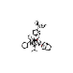 Cc1nnc(C(C)C)n1C1CC2CCC(C1)N2CC[C@H](NC(=O)C1CCCC1)c1ccc([N+](=O)[O-])s1